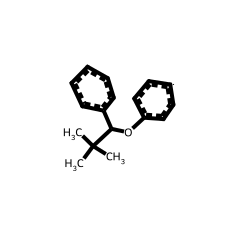 CC(C)(C)C(Oc1cc[c]cc1)c1ccccc1